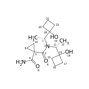 C[C@@H](N(C(=O)C1(C(N)=O)CC1)[C@H](C)C1(O)CCC1)C1(O)CCC1